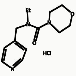 CCN(Cc1ccncc1)C(=O)N1CCOCC1.Cl